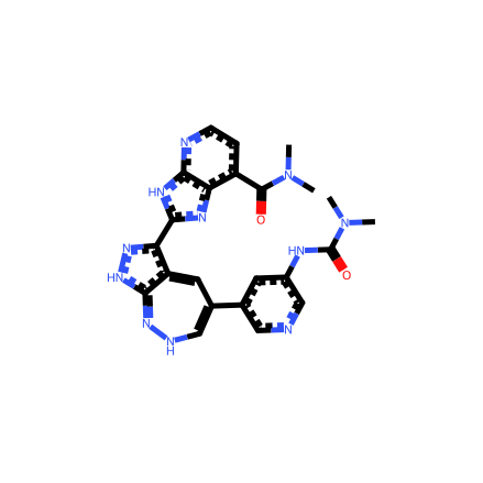 CN(C)C(=O)Nc1cncc(C2=CNN=c3[nH]nc(-c4nc5c(C(=O)N(C)C)ccnc5[nH]4)c3=C2)c1